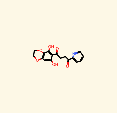 O=C(CCC(=O)c1c(O)cc2c(c1O)OCCO2)c1ccccn1